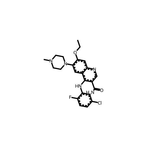 CCOc1cc2ncc(C(N)=O)c(Nc3cc(Cl)ccc3F)c2cc1N1CCN(C)CC1